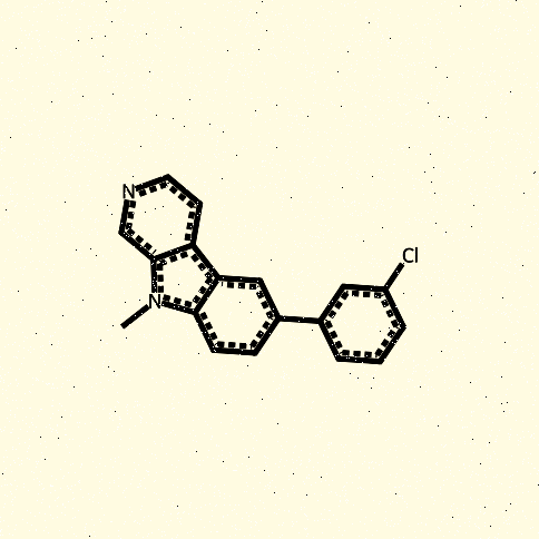 Cn1c2ccc(-c3cccc(Cl)c3)cc2c2ccncc21